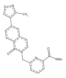 CNC(=O)c1cccc(Cn2ccc3cc(-c4conc4C)ccc3c2=O)n1